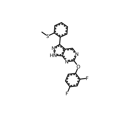 CSc1ccccc1-c1n[nH]c2nc(Oc3ccc(F)cc3F)ncc12